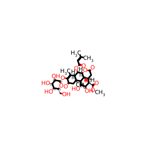 COC(=O)[C@@]12OC[C@]34[C@H](OC(=O)C[C@@H]13)[C@H](OC(=O)C=C(C)C)[C@H]1C(C)=C(O[C@@H]3O[C@H](CO)[C@@H](O)[C@H](O)[C@H]3O)C(=O)C[C@]1(C)[C@H]4[C@@H](O)[C@@H]2O